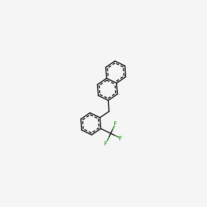 FC(F)(F)c1ccccc1Cc1[c]c2ccccc2cc1